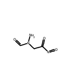 NN(C=O)CC(=O)N=O